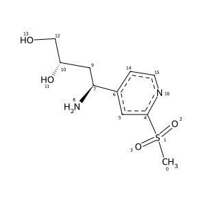 CS(=O)(=O)c1cc([C@@H](N)C[C@H](O)CO)ccn1